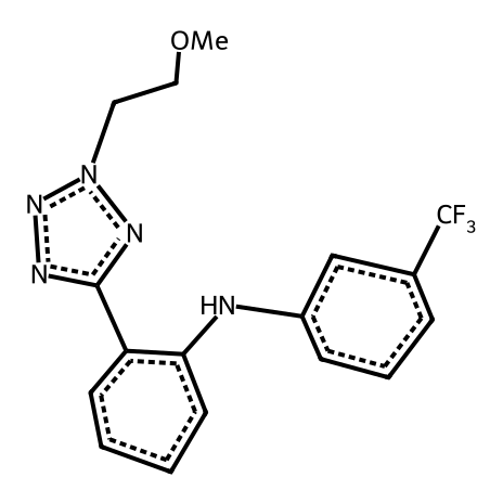 COCCn1nnc(-c2ccccc2Nc2cccc(C(F)(F)F)c2)n1